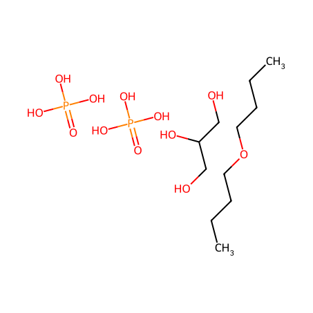 CCCCOCCCC.O=P(O)(O)O.O=P(O)(O)O.OCC(O)CO